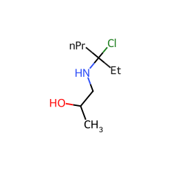 CCCC(Cl)(CC)NCC(C)O